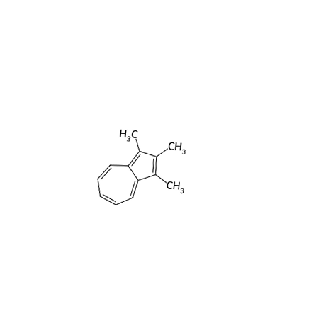 Cc1c2cccccc-2c(C)c1C